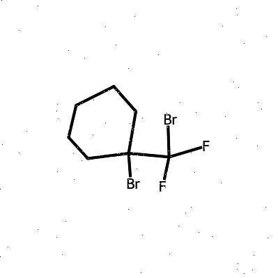 FC(F)(Br)C1(Br)CCCCC1